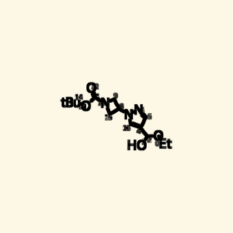 CCOC(O)c1cnn(C2CN(C(=O)OC(C)(C)C)C2)c1